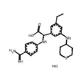 CCc1cc(NC2CCSCC2)cc(C(Nc2ccc(C(=N)N)cc2)C(=O)O)c1.Cl